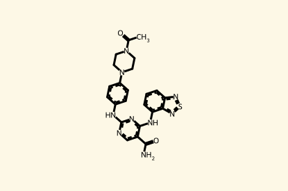 CC(=O)N1CCN(c2ccc(Nc3ncc(C(N)=O)c(Nc4cccc5nsnc45)n3)cc2)CC1